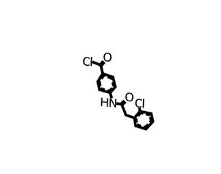 O=C(Cc1ccccc1Cl)Nc1ccc(C(=O)Cl)cc1